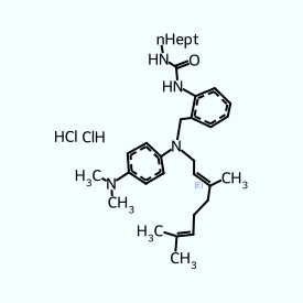 CCCCCCCNC(=O)Nc1ccccc1CN(C/C=C(\C)CCC=C(C)C)c1ccc(N(C)C)cc1.Cl.Cl